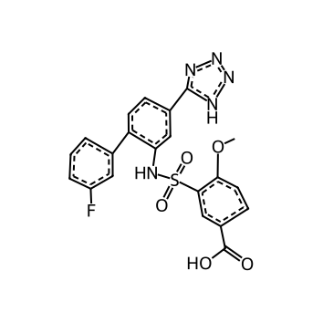 COc1ccc(C(=O)O)cc1S(=O)(=O)Nc1cc(-c2nnn[nH]2)ccc1-c1cccc(F)c1